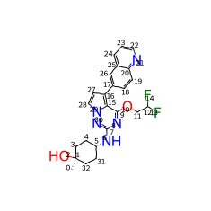 C[C@]1(O)CC[C@H](Nc2nc(OCC(F)F)c3c(-c4ccc5ncccc5c4)ccn3n2)CC1